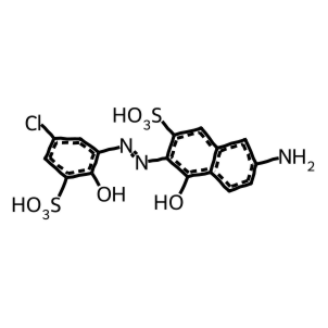 Nc1ccc2c(O)c(N=Nc3cc(Cl)cc(S(=O)(=O)O)c3O)c(S(=O)(=O)O)cc2c1